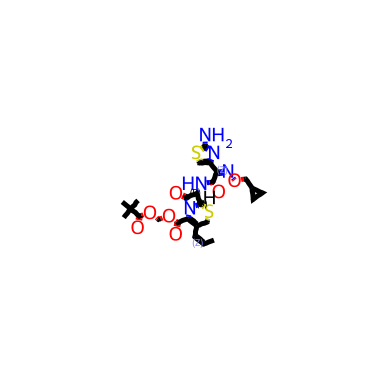 C/C=C\C1=C(C(=O)OCOC(=O)C(C)(C)C)N2C(=O)[C@@H](NC(=O)/C(=N\OCC3CC3)c3csc(N)n3)[C@@H]2SC1